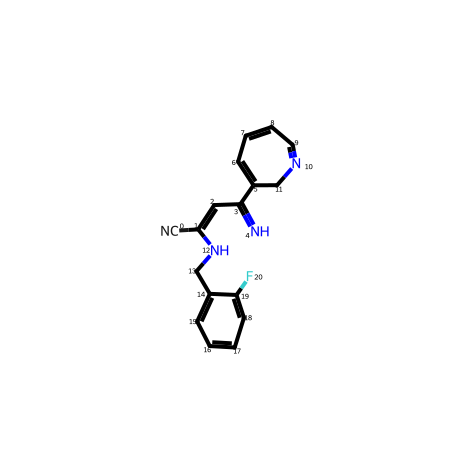 N#C/C(=C/C(=N)C1=CC=CC=NC1)NCc1ccccc1F